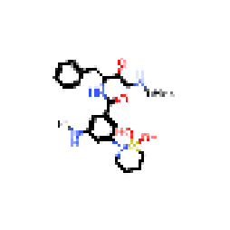 CCCCCCNC[C@H](O)[C@H](Cc1ccccc1)NC(=O)c1cc(NCC)cc(N2CCCCS2(O)O)c1